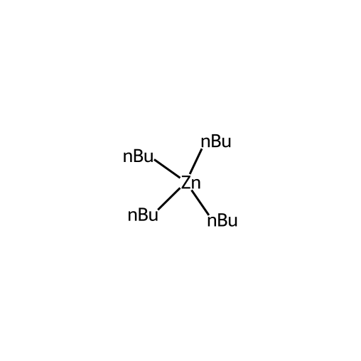 CCC[CH2][Zn]([CH2]CCC)([CH2]CCC)[CH2]CCC